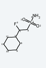 NS(=O)(=O)CC(F)C1CCCCC1